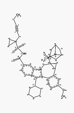 CCC#CCC1(S(=O)(=O)NC(=O)c2ccc3c(C4CCCCC4)c4n(c3c2)CC2(C(=O)N3C5CC3CN(C)C5)CC2c2cc(OC)ccc2-4)CC1